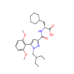 CCC(CC)Cn1nc(C(=O)N[C@@H](CC2CCCCC2)C(=O)O)cc1-c1c(OC)cccc1OC